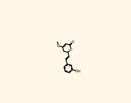 COC1=CC(=O)OC(C=Cc2cccc(O)c2)C1